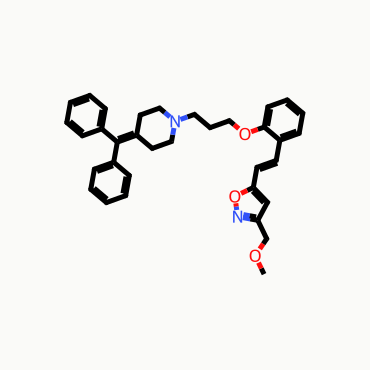 COCc1cc(C=Cc2ccccc2OCCCN2CCC(=C(c3ccccc3)c3ccccc3)CC2)on1